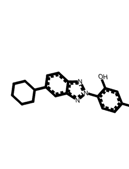 Oc1cc(I)ccc1-n1nc2ccc(C3CCCCC3)cc2n1